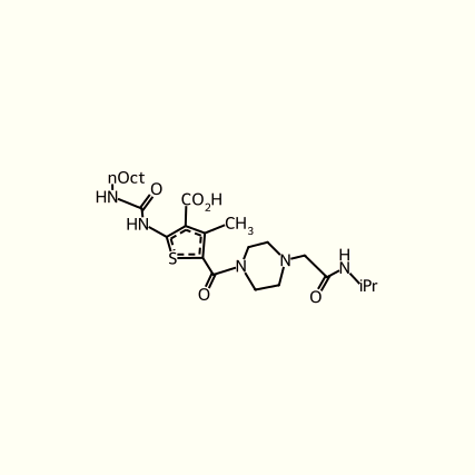 CCCCCCCCNC(=O)Nc1sc(C(=O)N2CCN(CC(=O)NC(C)C)CC2)c(C)c1C(=O)O